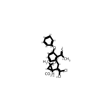 CC(=S)c1c(CC(=C(Cl)Cl)C2(C(=O)O)CC2(C)C)cccc1Oc1ccccc1